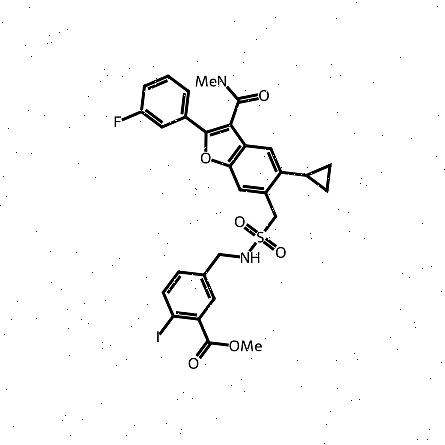 CNC(=O)c1c(-c2cccc(F)c2)oc2cc(CS(=O)(=O)NCc3ccc(I)c(C(=O)OC)c3)c(C3CC3)cc12